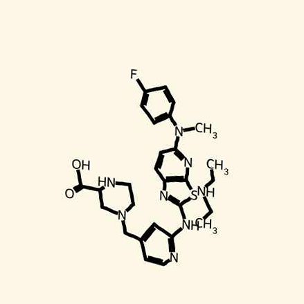 CCNCC.CN(c1ccc(F)cc1)c1ccc2nc(Nc3cc(CN4CCNC(C(=O)O)C4)ccn3)sc2n1